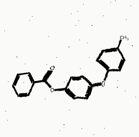 Cc1ccc(Oc2ccc(OC(=O)c3ccccc3)cc2)cc1